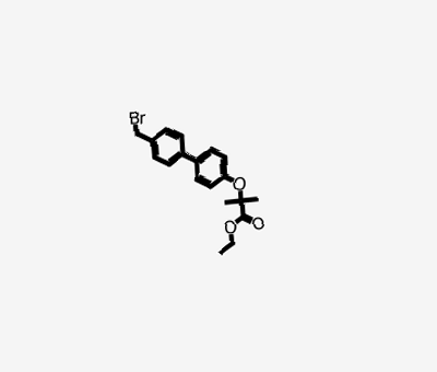 CCOC(=O)C(C)(C)Oc1ccc(-c2ccc(CBr)cc2)cc1